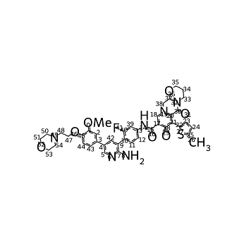 COc1cc(-c2cnc(N)c(-c3ccc(NC(=O)c4cn5c(c(-c6ccc(C)s6)c4=O)C(=O)N4CCCOC4C5)cc3F)c2)ccc1OCCN1CCOCC1